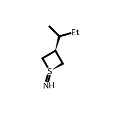 CCC(C)[C@H]1C[S@@](=N)C1